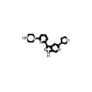 c1cc(-c2n[nH]c3cnc(C4CCOC4)cc23)nc(N2CCNCC2)c1